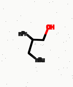 CCCCCC(CO)CCC